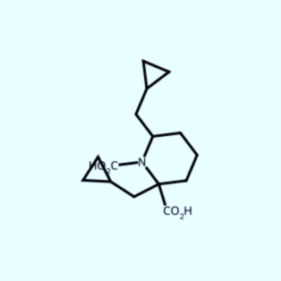 O=C(O)N1C(CC2CC2)CCCC1(CC1CC1)C(=O)O